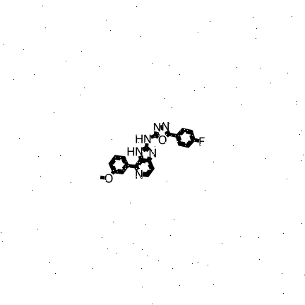 COc1cccc(-c2nccc3nc(Nc4nnc(-c5ccc(F)cc5)o4)[nH]c23)c1